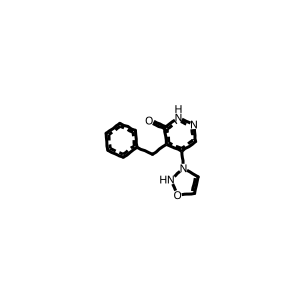 O=c1[nH]ncc(N2C=CON2)c1Cc1ccccc1